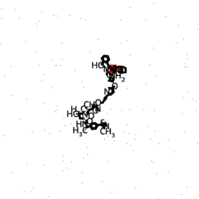 Cc1ncsc1-c1ccc([C@H](C)NC(=O)[C@@H]2C[C@@H](O)CN2C(=O)[C@@H](c2cc(OCC#Cc3ccc(O[C@H]4C[C@H](Oc5cc(N6C7CCC6CN(c6cc(-c8ccccc8O)nnc6N)C7)ccn5)C4)cn3)no2)C(C)C)cc1